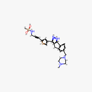 CN1CCN(Cc2ccc3c(c2)Cc2c(-c4csc(C#CCNS(C)(=O)=O)c4)n[nH]c2-3)CC1